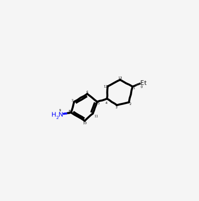 CCC1CCC(c2ccc(N)cc2)CC1